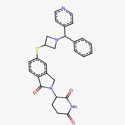 O=C1CCC(N2Cc3cc(SC4CN(C(c5ccccc5)c5ccncc5)C4)ccc3C2=O)C(=O)N1